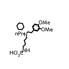 C1CCCCC1.CCCN(CCCCNC(=O)O)CCc1ccc(OC)c(OC)c1